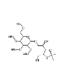 CCCCOCC1OC(OC[C@@H](O)[C@@H]2OC(C)(C)O[C@@H]2CO)C(OCCCC)C(OCCCC)C1OCCCC